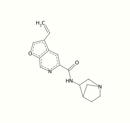 C=Cc1coc2cnc(C(=O)NC3CN4CCC3C4)cc12